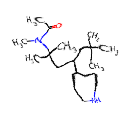 CC(=O)N(C)C(C)(C)CC(CC(C)(C)C)C1CCNCC1